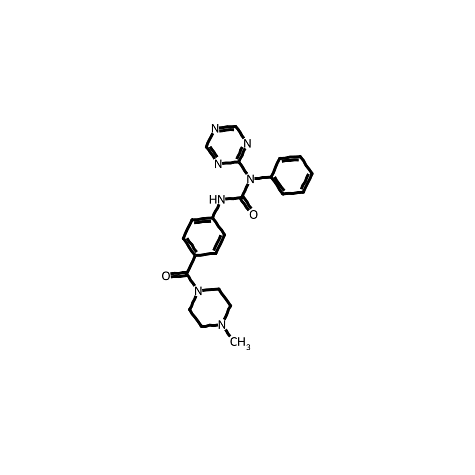 CN1CCN(C(=O)c2ccc(NC(=O)N(c3ccccc3)c3ncncn3)cc2)CC1